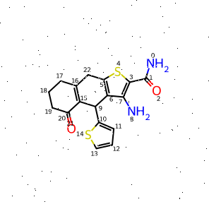 NC(=O)c1sc2c(c1N)C(c1cccs1)C1=C(CCCC1=O)C2